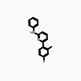 Cc1cc(F)ccc1-c1cccc(Nc2ccccc2)n1